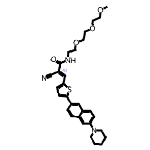 COCCOCCOCCNC(=O)/C(C#N)=C/c1ccc(-c2ccc3cc(N4CCCCC4)ccc3c2)s1